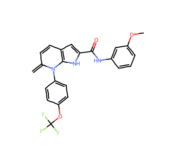 C=C1C=Cc2cc(C(=O)Nc3cccc(OC)c3)[nH]c2N1c1ccc(OC(F)(F)F)cc1